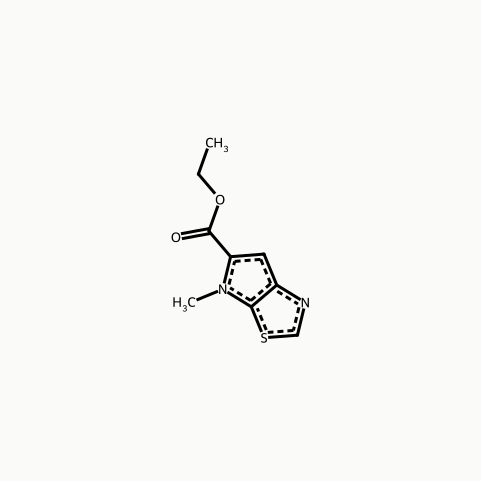 CCOC(=O)c1cc2ncsc2n1C